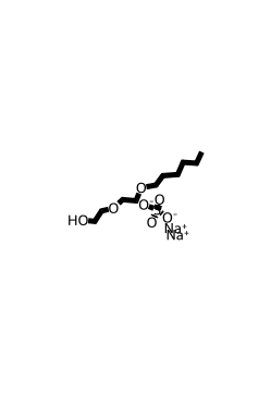 CCCCCCOCCOCCO.O=S(=O)([O-])[O-].[Na+].[Na+]